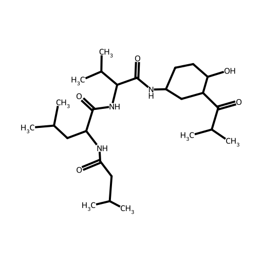 CC(C)CC(=O)NC(CC(C)C)C(=O)NC(C(=O)NC1CCC(O)C(C(=O)C(C)C)C1)C(C)C